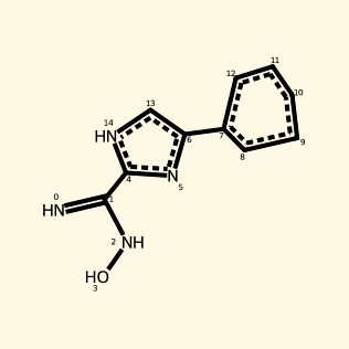 N=C(NO)c1nc(-c2ccccc2)c[nH]1